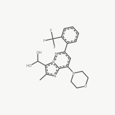 Cc1nc2c(N3CCOCC3)cc(-c3ccccc3C(F)(F)F)nn2c1C(O)O